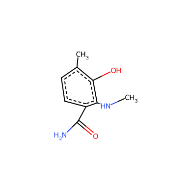 CNc1c(C(N)=O)ccc(C)c1O